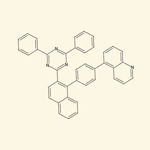 c1ccc(-c2nc(-c3ccccc3)nc(-c3ccc4ccccc4c3-c3ccc(-c4cccc5ncccc45)cc3)n2)cc1